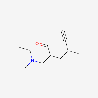 C#CC(C)CC(C=O)CN(C)CC